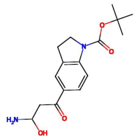 CC(C)(C)OC(=O)N1CCc2cc(C(=O)CC(N)O)ccc21